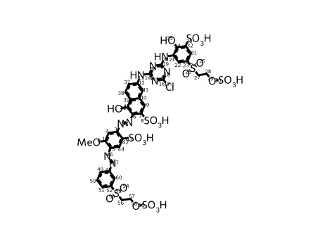 COc1cc(/N=N/c2c(S(=O)(=O)O)cc3cc(Nc4nc(Cl)nc(Nc5cc(S(=O)(=O)CCOS(=O)(=O)O)cc(S(=O)(=O)O)c5O)n4)ccc3c2O)c(S(=O)(=O)O)cc1/N=N/c1cccc(S(=O)(=O)CCOS(=O)(=O)O)c1